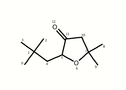 CC(C)(C)CC1OC(C)(C)CC1=O